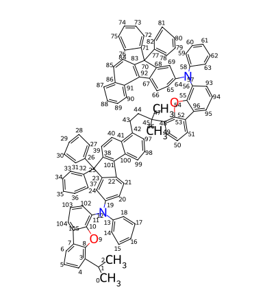 CC(C)c1cccc2c1oc1c(N(c3ccccc3)c3ccc4c(c3)C(c3ccccc3)(c3ccccc3)c3ccc5c(CCC(C)(C)c6cccc7c6oc6c(N(c8ccccc8)c8ccc9c(c8)C(c8ccccc8)(c8ccccc8)c8ccc%10ccccc%10c8-9)cccc67)cccc5c3-4)cccc12